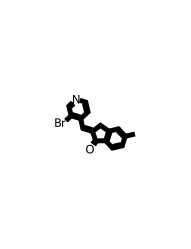 Cc1ccc2c(c1)CC(=Cc1ccncc1Br)C2=O